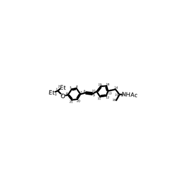 CCC(CC)Oc1ccc(C#Cc2ccc(CC(C)NC(C)=O)cc2)cc1